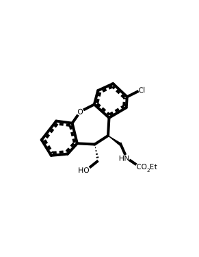 CCOC(=O)NC[C@@H]1c2cc(Cl)ccc2Oc2ccccc2[C@H]1CO